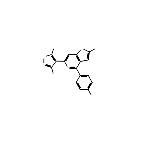 Cc1ccc(-c2nc(-c3c(C)noc3C)cc3[nH]c(C)cc23)cc1